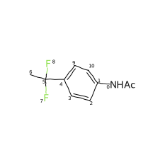 CC(=O)Nc1ccc(C(C)(F)F)cc1